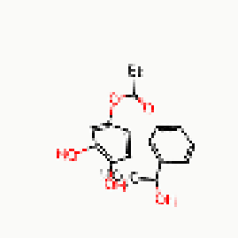 CCC(=O)Oc1ccc(O)c(O)c1.O=C(O)[C@H](O)c1ccccc1